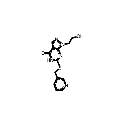 O=c1[nH]c(SCc2cccnc2)nc2c1cnn2CCO